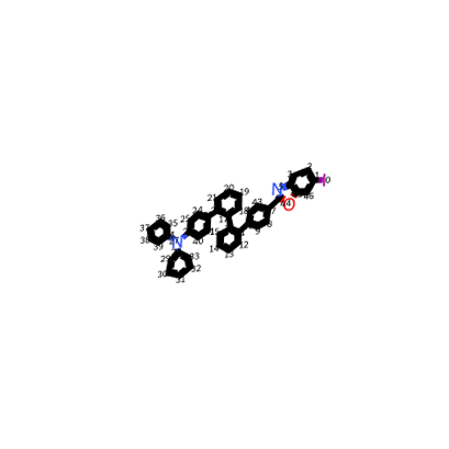 Ic1ccc2nc(-c3ccc(-c4ccccc4-c4ccccc4-c4ccc(N(c5ccccc5)c5ccccc5)cc4)cc3)oc2c1